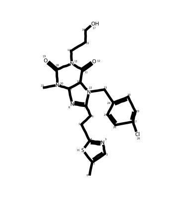 Cc1cnc(CCC2=NC3C(C(=O)N(CCCO)C(=O)N3C)N2Cc2ccc(Cl)cc2)s1